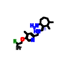 Cc1cc(CN/C=C2\C(N)CCCC(C)C2C)ncc1OCC(F)C(C)C